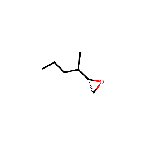 CCC[C@@H](C)[C@H]1CO1